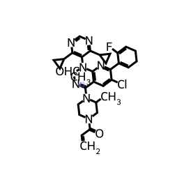 C=CC(=O)N1CCN(/C(=N/C)c2cc(Cl)c(C3=CCCC=C3F)nc2N(C=O)c2c(C3CC3)ncnc2C2CC2)C(C)C1